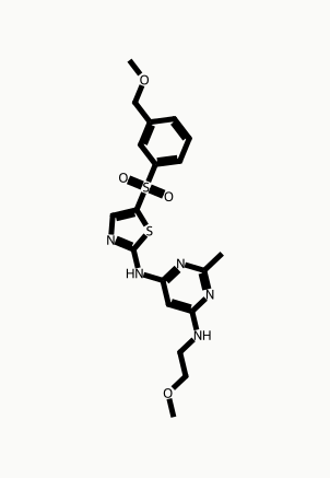 COCCNc1cc(Nc2ncc(S(=O)(=O)c3cccc(COC)c3)s2)nc(C)n1